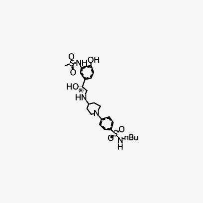 CCCCNS(=O)(=O)c1ccc(N2CCC(NC[C@H](O)c3ccc(O)c(NS(C)(=O)=O)c3)CC2)cc1